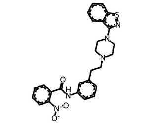 O=C(Nc1cccc(CCN2CCN(c3nsc4ccccc34)CC2)c1)c1ccccc1[N+](=O)[O-]